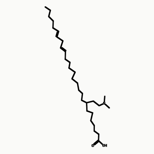 CCCCCC=CCC=CCCCCCCCCCC(CCCCCCC(=O)O)CCN(C)C